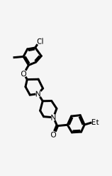 CCc1ccc(C(=O)N2CCC(N3CCC(Oc4ccc(Cl)cc4C)CC3)CC2)cc1